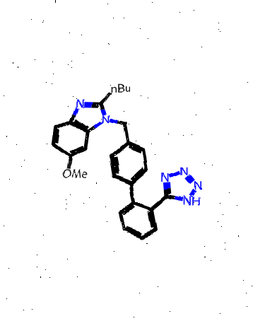 CCCCc1nc2ccc(OC)cc2n1Cc1ccc(-c2ccccc2-c2nnn[nH]2)cc1